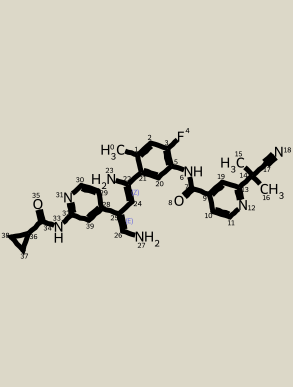 Cc1cc(F)c(NC(=O)c2ccnc(C(C)(C)C#N)c2)cc1/C(N)=C/C(=C\N)c1ccnc(NC(=O)C2CC2)c1